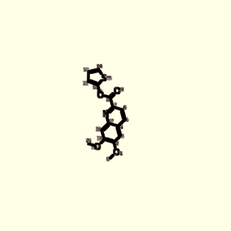 COc1cc2ccc(C(=O)Oc3cccs3)nc2cc1OC